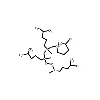 C[SiH](CCCC(C(F)(F)F)C(F)(F)F)OO[Si](C)(CCCC(C(F)(F)F)C(F)(F)F)O[Si](C)(CCCC(C(F)(F)F)C(F)(F)F)O[SiH](C)CCCC(C(F)(F)F)C(F)(F)F